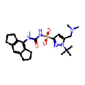 CN(C)Cc1cc(S(=O)(=O)NC(=O)Nc2c3c(cc4c2CCC4)CCC3)nn1C(C)(C)C